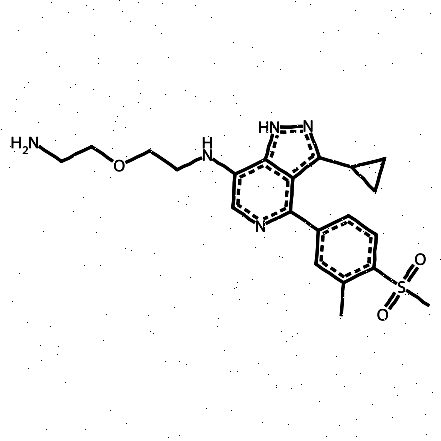 Cc1cc(-c2ncc(NCCOCCN)c3[nH]nc(C4CC4)c23)ccc1S(C)(=O)=O